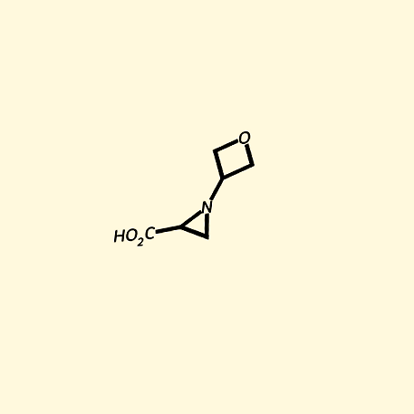 O=C(O)C1CN1C1COC1